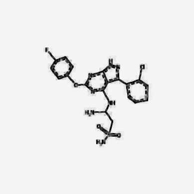 NC(CS(N)(=O)=O)Nc1nc(Oc2ccc(F)cc2)nc2[nH]nc(-c3ccccc3Cl)c12